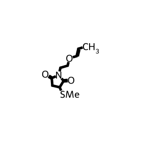 CC=COCCN1C(=O)CC(SC)C1=O